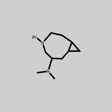 CC(C)N1CCC2CC2CC(N(C)C)C1